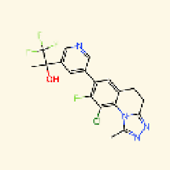 Cc1nnc2n1-c1c(cc(-c3cncc(C(C)(O)C(F)(F)F)c3)c(F)c1Cl)CC2